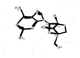 Nc1nc(N)c2ncn([C@@H]3O[C@@]4(CO)CO[C@@H]3C4O)c2n1